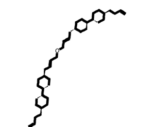 C=CCC[C@H]1CC[C@H]([C@H]2CC[C@H](CC=CCOCC=CC[C@H]3CC[C@H]([C@H]4CC[C@H](CCC=C)CC4)CC3)CC2)CC1